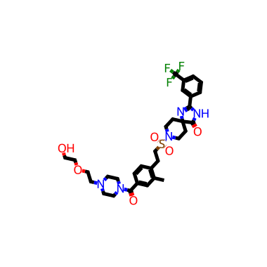 Cc1cc(C(=O)N2CCN(CCOCCO)CC2)ccc1CCS(=O)(=O)N1CCC2(CC1)N=C(c1cccc(C(F)(F)F)c1)NC2=O